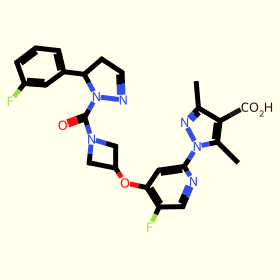 Cc1nn(-c2cc(OC3CN(C(=O)N4N=CCC4c4cccc(F)c4)C3)c(F)cn2)c(C)c1C(=O)O